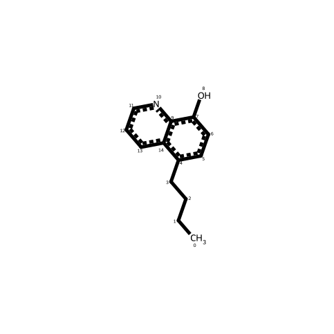 CCCCc1ccc(O)c2ncccc12